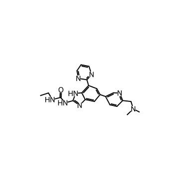 CCNC(=O)Nc1nc2cc(-c3ccc(CN(C)C)nc3)cc(-c3ncccn3)c2[nH]1